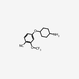 N#Cc1ccc(OC2CCC(N)CC2)cc1OC(F)(F)F